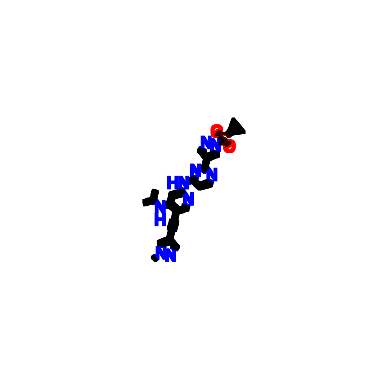 CC(C)Nc1cc(Nc2ccnc(-c3cnn(S(=O)(=O)C4CC4)c3)n2)ncc1C#Cc1cnn(C)c1